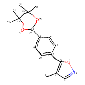 Cc1cnoc1-c1ccc(B2OC(C)(C)C(C)(C)O2)cc1